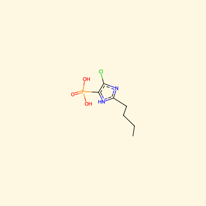 CCCCc1nc(Cl)c(P(=O)(O)O)[nH]1